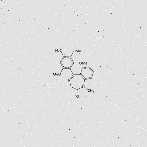 COc1cc(C)c(OC)c(OC)c1C1=NCC(=O)N(C)c2ccccc21